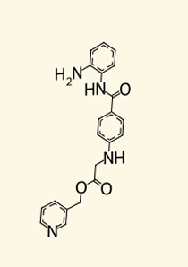 Nc1ccccc1NC(=O)c1ccc(NCC(=O)OCc2cccnc2)cc1